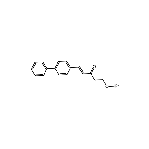 CC(C)OCCC(=O)C=Cc1ccc(-c2cc[c]cc2)cc1